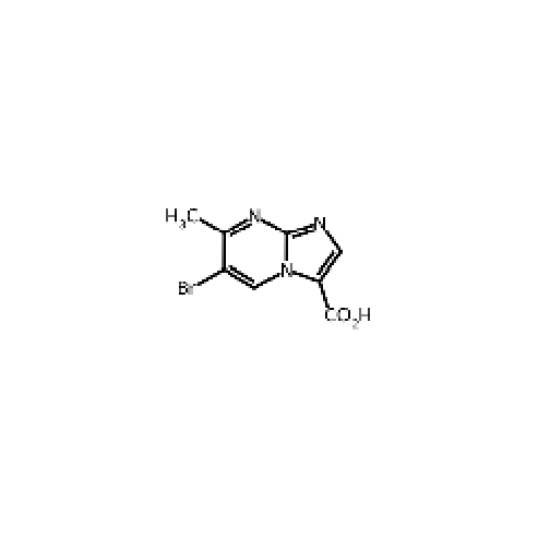 Cc1nc2ncc(C(=O)O)n2cc1Br